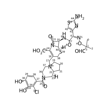 CC(C)(C=O)O/N=C(\C(=O)N[C@@H]1C(=O)N2C(C(=O)O)=C(C[N+]34CCC[C@H]3CN(C(=O)c3ccc(O)c(O)c3Cl)CC4)CS[C@H]12)c1csc(N)n1